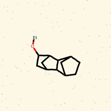 CCOC1CC2CC1C1C3CCC(C3)C21